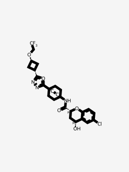 O=C(NC12CCC(c3nnc([C@H]4C[C@@H](OCC(F)(F)F)C4)o3)(CC1)CC2)[C@H]1C[C@@H](O)c2cc(Cl)ccc2O1